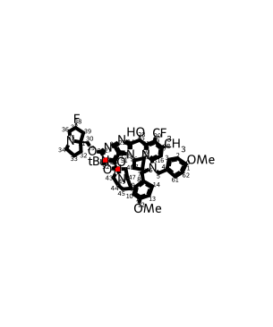 COc1ccc(CN(Cc2ccc(OC)cc2)c2cc(C)c(C(F)(F)F)c([C@@H](O)c3nc4nc(OC[C@@]56CCCN5C[C@H](F)C6)nc(N5CC6CCC(C5)N6C(=O)OC(C)(C)C)c4n3C3CCC3)n2)cc1